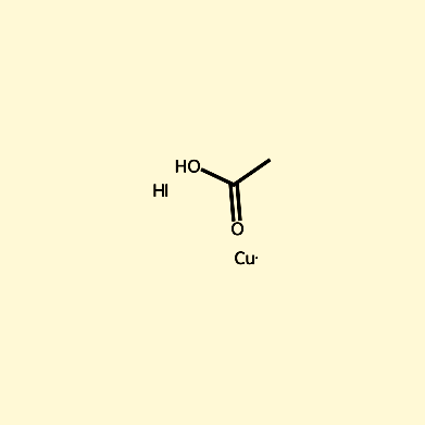 CC(=O)O.I.[Cu]